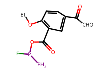 CCOc1ccc(C(=O)C=O)cc1C(=O)OP(F)P